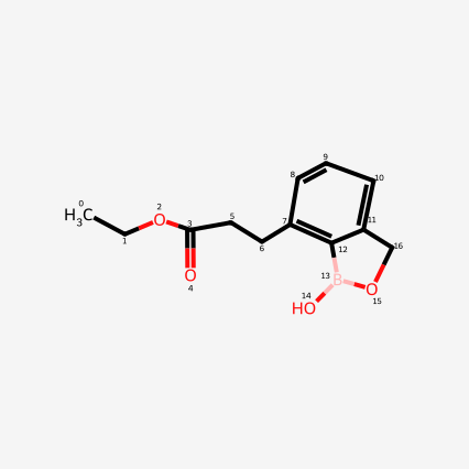 CCOC(=O)CCc1cccc2c1B(O)OC2